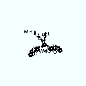 CCC(=O)CCCN(CCOCCOCCOC)c1cc(COc2cc3c(cc2OC)C(=O)N2c4ccccc4CC2C=N3)cc(COc2cc3c(cc2OC)C(=O)N2c4ccccc4CC2C=N3)c1